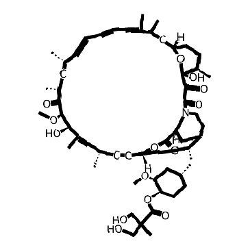 CO[C@@H]1C[C@H](C[C@H]2C3CCN4C(=O)C(=O)[C@]5(O)O[C@@H](CC[C@H]5C)CC(C)/C(C)=C/C=C/C=C/[C@@H](C)C[C@@H](C)C(=O)[C@H](OC)[C@H](O)/C(C)=C/[C@@H](C)CC[C@@H]2OC(=O)[C@@H]4C3)CC[C@H]1OC(=O)C(C)(CO)CO